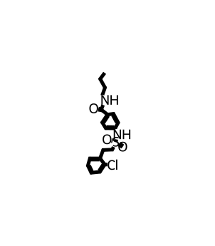 CCCCNC(=O)c1ccc(NS(=O)(=O)CCc2ccccc2Cl)cc1